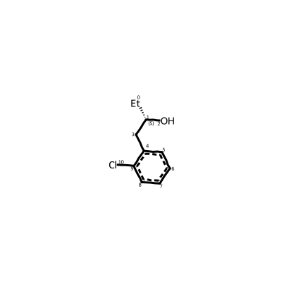 CC[C@H](O)Cc1ccccc1Cl